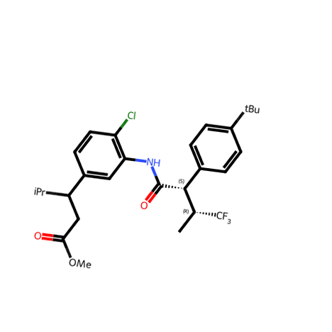 COC(=O)CC(c1ccc(Cl)c(NC(=O)[C@H](c2ccc(C(C)(C)C)cc2)[C@@H](C)C(F)(F)F)c1)C(C)C